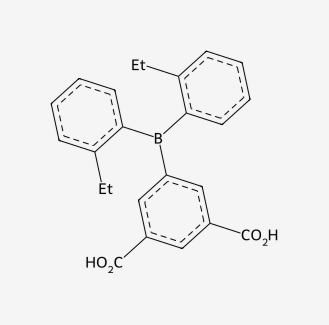 CCc1ccccc1B(c1cc(C(=O)O)cc(C(=O)O)c1)c1ccccc1CC